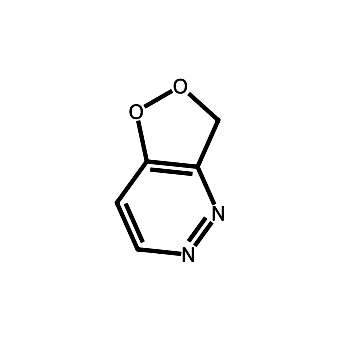 c1cc2c(nn1)COO2